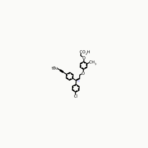 Cc1cc(OC/C=C(/c2ccc(Cl)cc2)c2ccc(C#CC(C)(C)C)cc2)ccc1OCC(=O)O